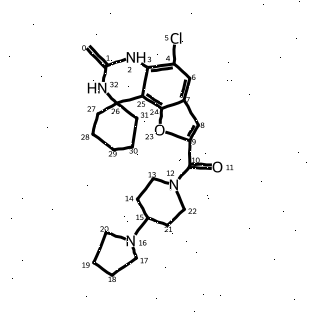 C=C1Nc2c(Cl)cc3cc(C(=O)N4CCC(N5CCCC5)CC4)oc3c2C2(CCCCC2)N1